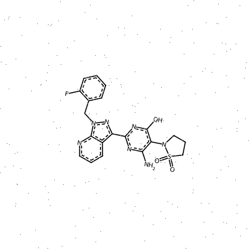 Nc1nc(-c2nn(Cc3ccccc3F)c3ncccc23)nc(O)c1N1CCCS1(=O)=O